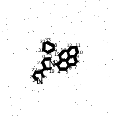 C1=CN(c2ccc3ccc4cccc5ccc2c3c45)CC(c2cccnc2)=C1.c1ccccc1